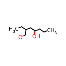 CCCC(O)CC(CC)C[O]